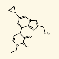 CCn1ncn(-c2cc(C3CC3)cn3cc(CN)nc23)c(=O)c1=O